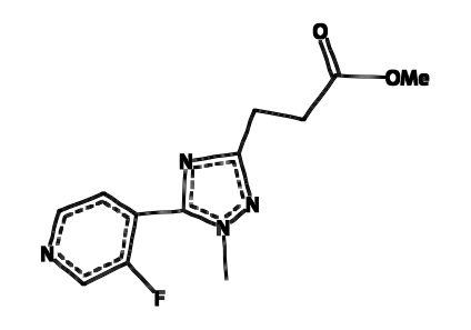 COC(=O)CCc1nc(-c2ccncc2F)n(C)n1